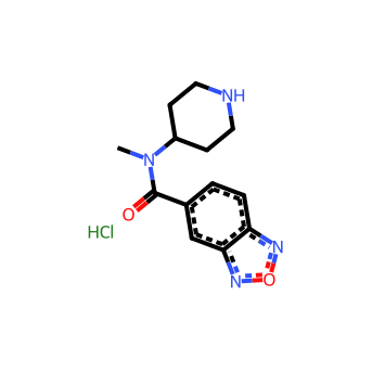 CN(C(=O)c1ccc2nonc2c1)C1CCNCC1.Cl